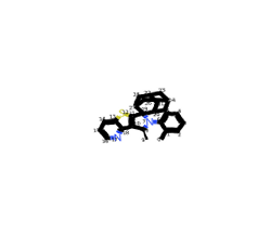 Cc1ccccc1N1[C@@H](C)c2c(sc3cccnc23)C12C1CC3CC(C1)CC2C3